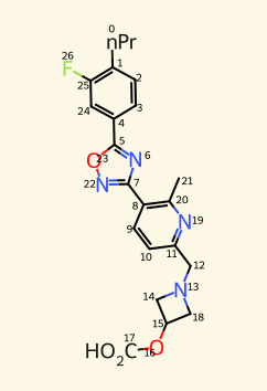 CCCc1ccc(-c2nc(-c3ccc(CN4CC(OC(=O)O)C4)nc3C)no2)cc1F